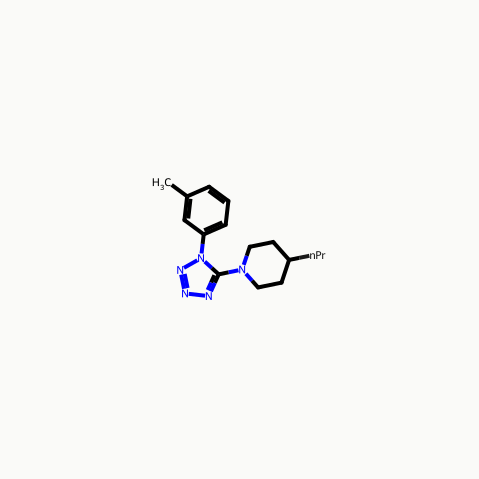 CCCC1CCN(c2nnnn2-c2cccc(C)c2)CC1